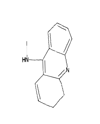 CNc1c2c(nc3ccccc13)CCC=C2